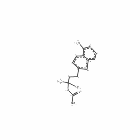 CC(C)(CCc1ccc2c(N)nccc2c1)OC(N)=O